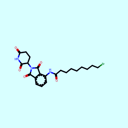 O=C1CCC(N2C(=O)c3cccc(NC(=O)CCCCCCCCBr)c3C2=O)C(=O)N1